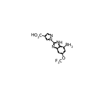 Bc1cc(OC(F)(F)F)cc2nc(-n3cc(C(=O)O)cn3)[nH]c12